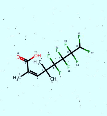 CC(=CC(C)(C)C(F)(F)C(F)(F)C(F)(F)C(F)F)C(=O)O